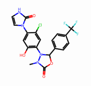 CN1C(=O)OC(c2ccc(C(F)(F)F)cc2)N1c1cc(Cl)c(-n2cc[nH]c2=O)cc1O